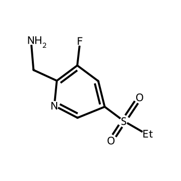 CCS(=O)(=O)c1cnc(CN)c(F)c1